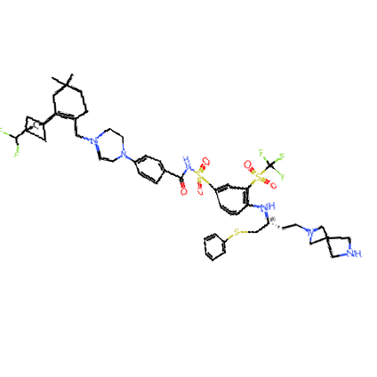 CC1(C)CCC(CN2CCN(c3ccc(C(=O)NS(=O)(=O)c4ccc(N[C@H](CCN5CC6(CNC6)C5)CSc5ccccc5)c(S(=O)(=O)C(F)(F)F)c4)cc3)CC2)=C(C23CC(C(F)F)(C2)C3)C1